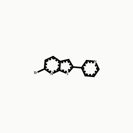 Brc1ccc2cc(-c3cccnc3)sc2n1